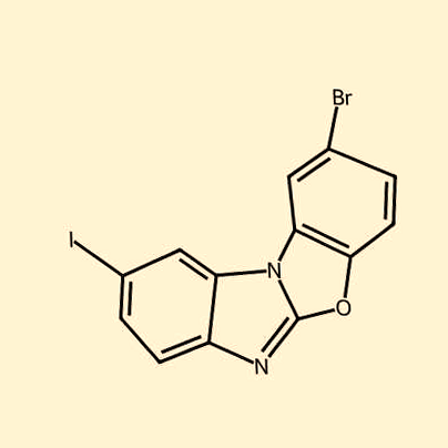 Brc1ccc2oc3nc4ccc(I)cc4n3c2c1